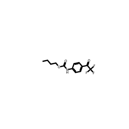 CCCCOC(=O)Nc1ccc(C(=O)C(F)(F)F)cc1